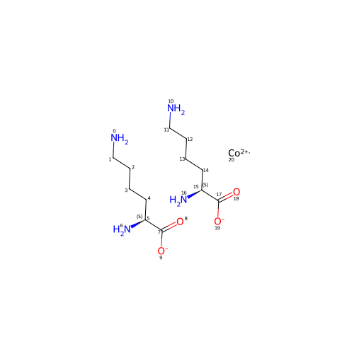 NCCCC[C@H](N)C(=O)[O-].NCCCC[C@H](N)C(=O)[O-].[Co+2]